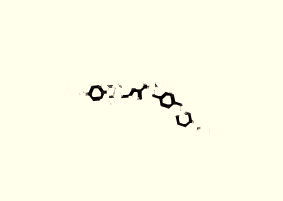 COc1cc(C)c(S(=O)(=O)N(C)Cc2cc(C(=O)N(C)Cc3ccc(CN4CCCC(OC)C4)cc3)co2)c(C)c1